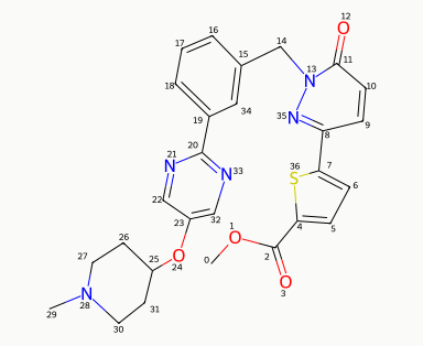 COC(=O)c1ccc(-c2ccc(=O)n(Cc3cccc(-c4ncc(OC5CCN(C)CC5)cn4)c3)n2)s1